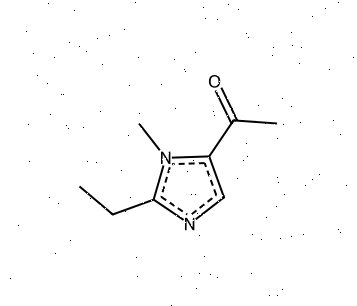 CCc1ncc(C(C)=O)n1C